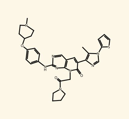 Cc1c(-c2cc3cnc(Nc4ccc(OC5CCN(C)CC5)cc4)nc3n(CC(=O)N3CCCC3)c2=O)ncn1-c1cccs1